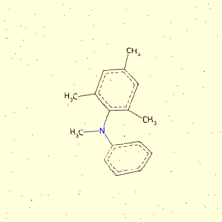 Cc1cc(C)c(N(C)c2ccccc2)c(C)c1